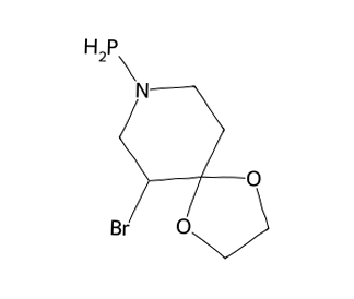 PN1CCC2(OCCO2)C(Br)C1